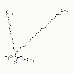 C=COC(=O)C(C)=C(CCCCCCCCCCCC)CCCCCCCCCCCCCCCCCC